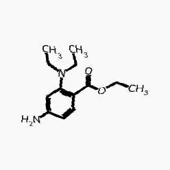 CCOC(=O)c1ccc(N)cc1N(CC)CC